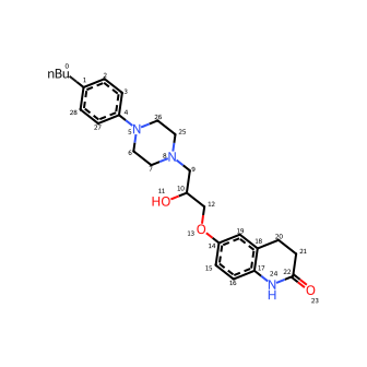 CCCCc1ccc(N2CCN(CC(O)COc3ccc4c(c3)CCC(=O)N4)CC2)cc1